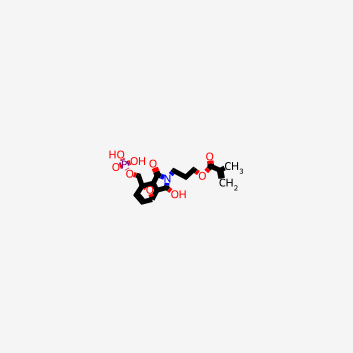 C=C(C)C(=O)OCCCN1C(=O)C2C(C3C=CC2(COP(=O)(O)O)O3)C1O